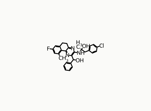 Cc1cc(F)cc2c1-c1nc(C(O)c3ccccc3)c(N[C@@](C)(O)Cc3ccc(Cl)cc3)nc1CC2